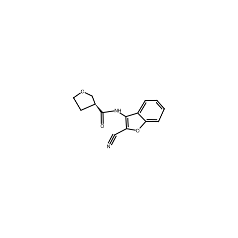 N#Cc1oc2ccccc2c1NC(=O)[C@H]1CCOC1